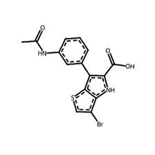 CC(=O)Nc1cccc(-c2c(C(=O)O)[nH]c3c(Br)csc23)c1